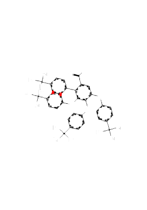 O=C(O)c1cc(Oc2ccc(C(Br)(Br)Br)cc2)c(Oc2ccc(C(Br)(Br)Br)cc2)c(Oc2ccc(C(Br)(Br)Br)cc2)c1-c1ccc(C(Br)(Br)Br)cc1